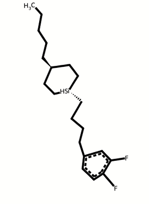 CCCCC[C@H]1CC[Si@H](CCCCc2ccc(F)c(F)c2)CC1